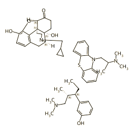 CC(CN1c2ccccc2Sc2ccccc21)N(C)C.CC[C@@H](c1cccc(O)c1)[C@@H](C)CN(C)C.O=C1CC[C@@]2(O)[C@H]3Cc4ccc(O)c5c4[C@@]2(CCN3CC2CC2)[C@H]1O5